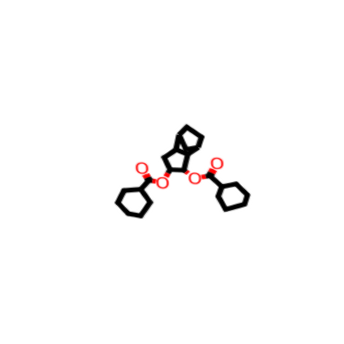 O=C(OC1CC2C3CCC(C3)C2C1OC(=O)C1CCCCC1)C1CCCCC1